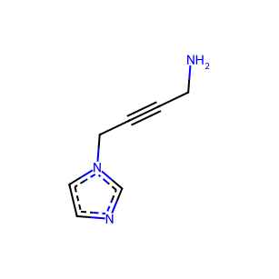 NCC#CCn1ccnc1